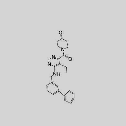 CCc1c(NCc2cccc(-c3ccccc3)c2)ncnc1C(=O)N1CCC(=O)CC1